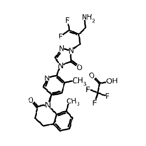 Cc1cc(N2C(=O)CCc3cccc(C)c32)cnc1-n1cnn(CC(CN)=C(F)F)c1=O.O=C(O)C(F)(F)F